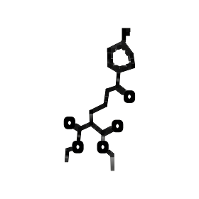 CCOC(=O)C(CCCC(=O)c1ccc(F)cc1)C(=O)OCC